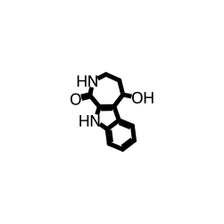 O=C1NCCC(O)c2c1[nH]c1ccccc21